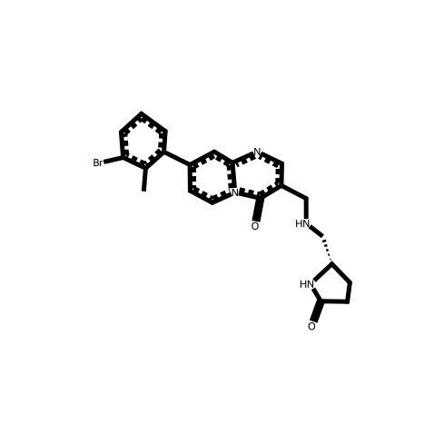 Cc1c(Br)cccc1-c1ccn2c(=O)c(CNC[C@@H]3CCC(=O)N3)cnc2c1